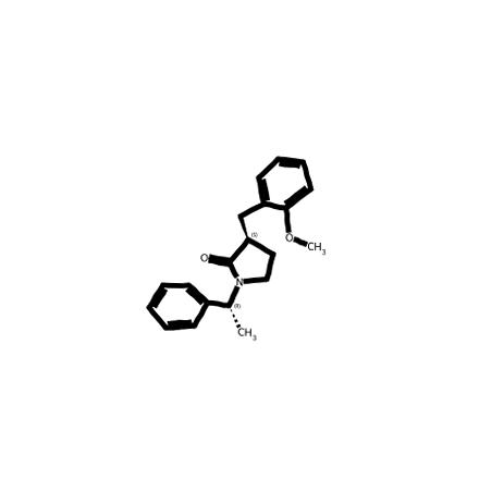 COc1ccccc1C[C@H]1CCN([C@H](C)c2ccccc2)C1=O